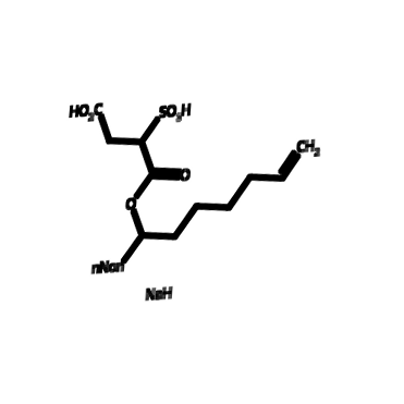 C=CCCCCC(CCCCCCCCC)OC(=O)C(CC(=O)O)S(=O)(=O)O.[NaH]